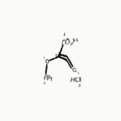 CCCOC(=O)C(=O)O.Cl